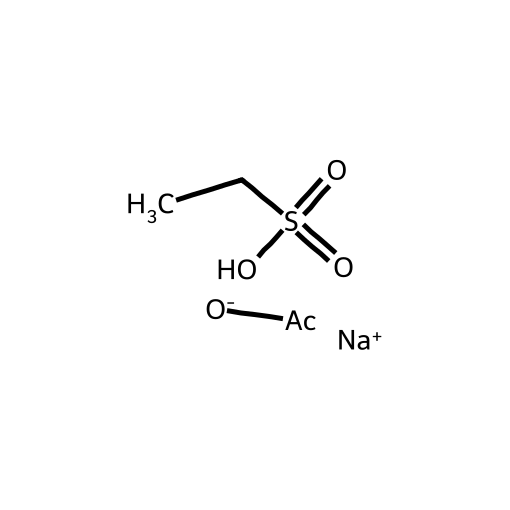 CC(=O)[O-].CCS(=O)(=O)O.[Na+]